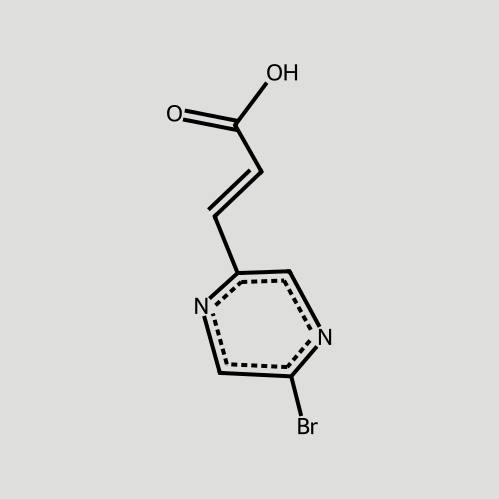 O=C(O)C=Cc1cnc(Br)cn1